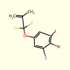 C=C(C)C(F)(F)Oc1cc(I)c(Br)c(I)c1